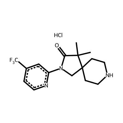 CC1(C)C(=O)N(c2cc(C(F)(F)F)ccn2)CC12CCNCC2.Cl